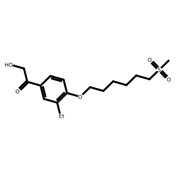 CCc1cc(C(=O)CO)ccc1OCCCCCCS(C)(=O)=O